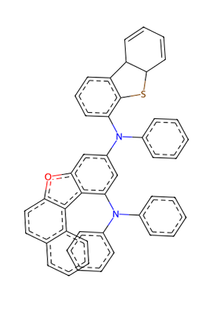 C1=CC2Sc3c(cccc3N(c3ccccc3)c3cc(N(c4ccccc4)c4ccccc4)c4c(c3)oc3ccc5ccccc5c34)C2C=C1